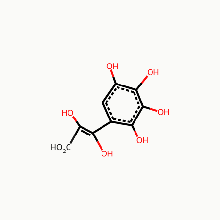 O=C(O)C(O)=C(O)c1cc(O)c(O)c(O)c1O